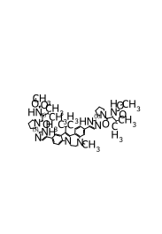 COC(=O)NC(C(=O)N1CCC[C@H]1c1ncc(-c2ccc3c(c2)N(C)CCn2c-3c(C(C)C)c3cc(-c4cnc([C@@H]5CCCN5C(=O)[C@@H](NC(=O)OC)C(C)C)[nH]4)ccc32)[nH]1)C(C)C